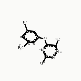 Fc1cc(Sc2nc(Cl)nnc2Cl)cc(C(F)(F)F)c1